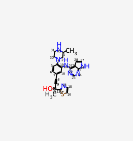 CC1CN(c2ccc(C#C[C@@](C)(O)c3nccs3)cc2Nc2ncnc3[nH]ccc23)CCN1